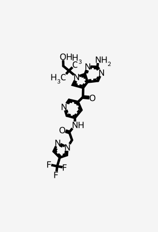 CC(C)(CO)n1cc(C(=O)c2cncc(NC(=O)Cn3cc(C(F)(F)F)cn3)c2)c2cnc(N)nc21